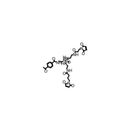 CC(=O)c1ccc(C(=O)NCCNP(=O)(NCCNC(=O)CCCN2C(=O)C=CC2=O)NCCNC(=O)CCN2C(=O)C=CC2=O)cc1